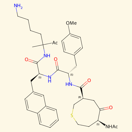 COc1ccc(C[C@H](NC(=O)[C@@H]2CSCC[C@H](NC(C)=O)C(=O)C2)C(=O)N[C@@H](Cc2ccc3ccccc3c2)C(=O)NC(C)(CCCCN)C(C)=O)cc1